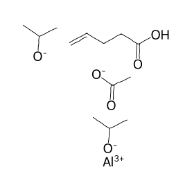 C=CCCC(=O)O.CC(=O)[O-].CC(C)[O-].CC(C)[O-].[Al+3]